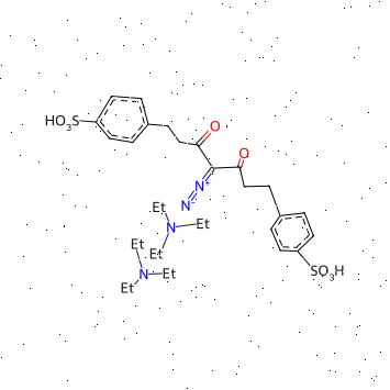 CCN(CC)CC.CCN(CC)CC.[N-]=[N+]=C(C(=O)CCc1ccc(S(=O)(=O)O)cc1)C(=O)CCc1ccc(S(=O)(=O)O)cc1